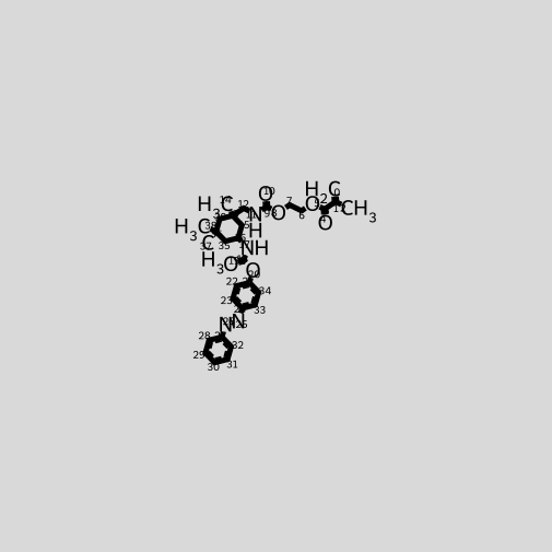 C=C(C)C(=O)OCCOC(=O)NCC1(C)CC(NC(=O)Oc2ccc(N=Nc3ccccc3)cc2)CC(C)(C)C1